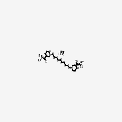 Br.Br.CCN(CC)C(=O)C1CCCN(CCCCCCCCCCN2CCCC(C(=O)N(CC)CC)C2)C1